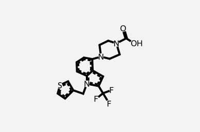 O=C(O)N1CCN(c2cccc3c2cc(C(F)(F)F)n3Cc2ccsc2)CC1